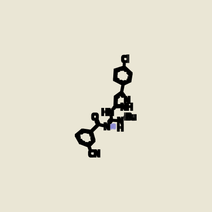 CCC(C)N/C(=N/C(=O)c1cccc(C#N)c1)Nc1cc(-c2ccc(Cl)cc2)n[nH]1